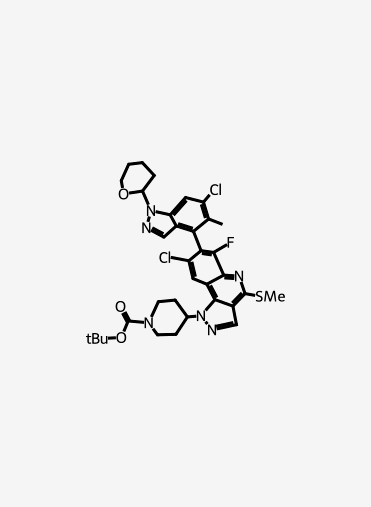 CSc1nc2c(F)c(-c3c(C)c(Cl)cc4c3cnn4C3CCCCO3)c(Cl)cc2c2c1cnn2C1CCN(C(=O)OC(C)(C)C)CC1